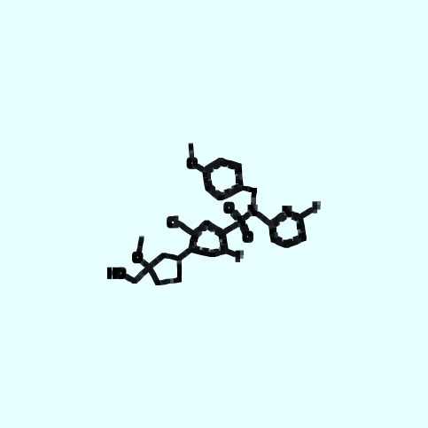 COc1ccc(CN(c2cccc(F)n2)S(=O)(=O)c2cc(Cl)c(C3CCC(CO)(OC)C3)cc2F)cc1